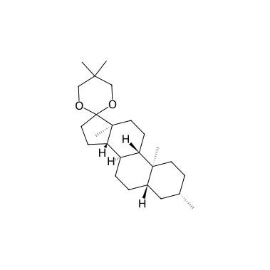 C[C@H]1CC[C@@]2(C)[C@@H](CC[C@@H]3[C@@H]2CC[C@@]2(C)[C@H]3CCC23OCC(C)(C)CO3)C1